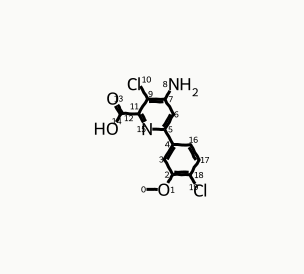 COc1cc(-c2cc(N)c(Cl)c(C(=O)O)n2)ccc1Cl